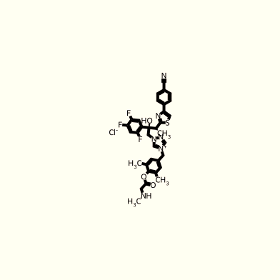 CNCC(=O)Oc1c(C)cc(C[n+]2cnn(C[C@](O)(c3cc(F)c(F)cc3F)[C@@H](C)c3nc(-c4ccc(C#N)cc4)cs3)c2)cc1C.[Cl-]